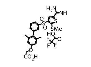 CSc1sc(C(=N)N)cc1S(=O)(=O)c1cccc(-c2c(C)cc(OCC(=O)O)cc2C)c1.O=C(O)C(F)(F)F